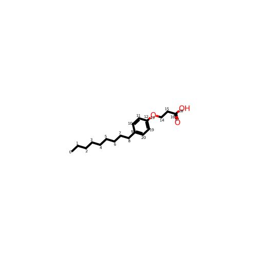 CCCCCCCCCc1ccc(OCCC(=O)O)cc1